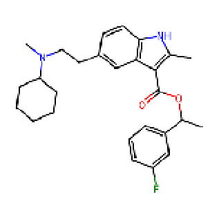 Cc1[nH]c2ccc(CCN(C)C3CCCCC3)cc2c1C(=O)OC(C)c1cccc(F)c1